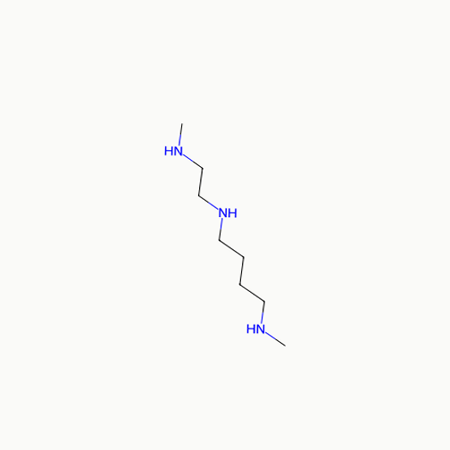 CNCCCCNCCNC